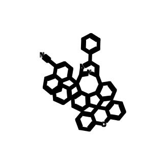 N#Cc1ccc(C2(c3ccccc3)c3nc(-c4ccccc4)cc(n3)-c3cccc4c3-c3c(cccc32)C42c3ccccc3Oc3ccccc32)c2ccccc12